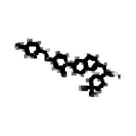 CN(Cc1ccc2c(c1)CCC(n1ccc(OCc3ccc(Cl)cn3)cc1=O)=C2)C1CCS(O)(O)CC1